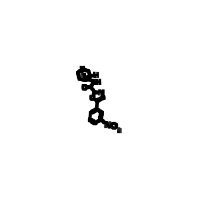 O=C(N[C@H]1CN2CCC1CC2)c1ncc(-c2cccc([N+](=O)[O-])c2)o1